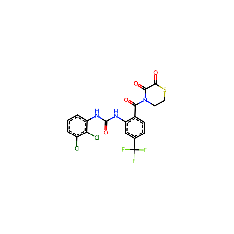 O=C(Nc1cc(C(F)(F)F)ccc1C(=O)N1CCSC(=O)C1=O)Nc1cccc(Cl)c1Cl